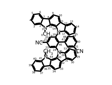 Cn1c2ccccc2c2ccc3c4ccccc4n(-c4cc(C#N)cc(-n5c6ccccc6c6ccc7c8ccccc8n(C)c7c65)c4-c4cccc(C#N)c4)c3c21